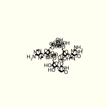 CO[C@@H]1[C@H](OP(=O)(O)OC[C@H]2O[C@@H](n3ccc(=O)[nH]c3=O)[C@H](O)[C@@H]2O)[C@@H](COP(=O)(O)OP(=O)(O)OP(=O)(O)OC[C@H]2O[C@@H](n3c[n+](C)c4c(=O)[nH]c(N)nc43)[C@H](O)[C@@H]2COC(F)(F)F)O[C@H]1n1cnc2c(N)ncnc21